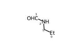 [CH2]C[CH]NC=O